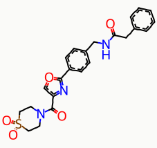 O=C(Cc1ccccc1)NCc1ccc(-c2nc(C(=O)N3CCS(=O)(=O)CC3)co2)cc1